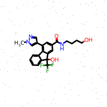 Cn1cc(-c2cc(C(=O)NCCCCO)cc3c2-c2ccccc2C3(O)C(F)(F)F)cn1